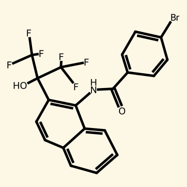 O=C(Nc1c(C(O)(C(F)(F)F)C(F)(F)F)ccc2ccccc12)c1ccc(Br)cc1